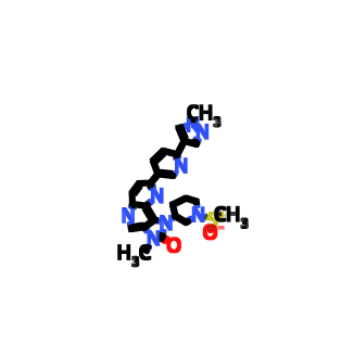 Cn1cc(-c2ccc(-c3ccc4ncc5c(c4n3)n(C3CCCN([S+](C)[O-])C3)c(=O)n5C)cn2)cn1